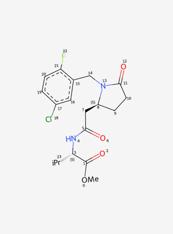 COC(=O)[C@@H](NC(=O)C[C@@H]1CCC(=O)N1Cc1cc(Cl)ccc1F)C(C)C